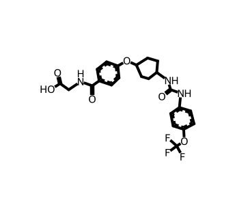 O=C(O)CNC(=O)c1ccc(OC2CCC(NC(=O)Nc3ccc(OC(F)(F)F)cc3)CC2)cc1